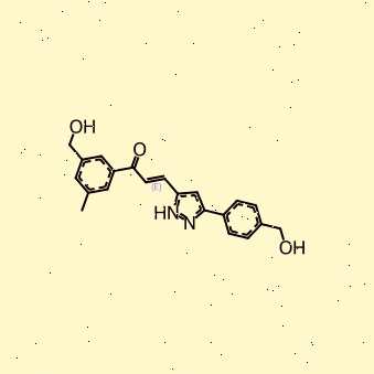 Cc1cc(CO)cc(C(=O)/C=C/c2cc(-c3ccc(CO)cc3)n[nH]2)c1